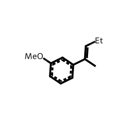 [CH2]CC=C(C)c1cccc(OC)c1